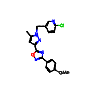 COc1ccc(-c2noc(-c3cc(C)n(Cc4ccc(Cl)nc4)n3)n2)cc1